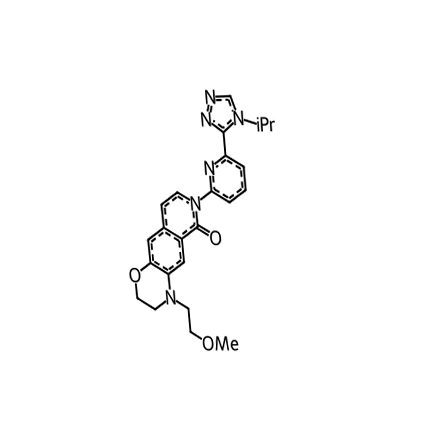 COCCN1CCOc2cc3ccn(-c4cccc(-c5nncn5C(C)C)n4)c(=O)c3cc21